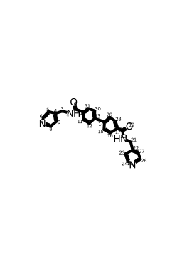 O=C(NCc1ccncc1)c1ccc(-c2ccc(C(=O)NCc3ccncc3)cc2)cc1